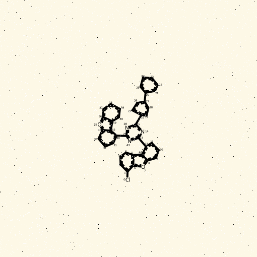 Clc1cccc2c1oc1cccc(-c3nc(-c4ccc(-c5ccccc5)cc4)nc(-c4cccc5oc6ccccc6c45)n3)c12